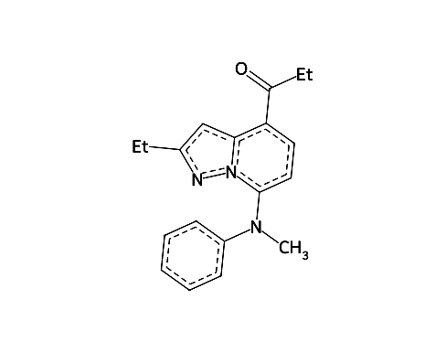 CCC(=O)c1ccc(N(C)c2ccccc2)n2nc(CC)cc12